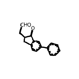 O=CCC1Cc2ccc(-c3ccccc3)cc2C1=O